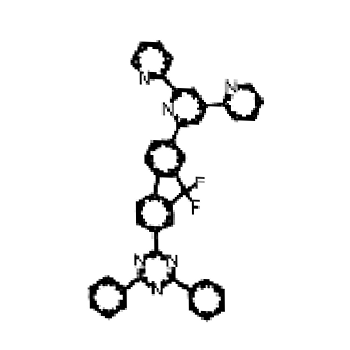 FC1(F)c2cc(-c3cc(-c4ccccn4)cc(-c4ccccn4)n3)ccc2-c2ccc(-c3nc(-c4ccccc4)nc(-c4ccccc4)n3)cc21